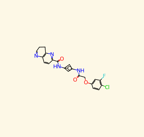 O=C(COc1ccc(Cl)c(F)c1)NC12CC(NC(=O)c3ccc4c(n3)CCC=N4)(C1)C2